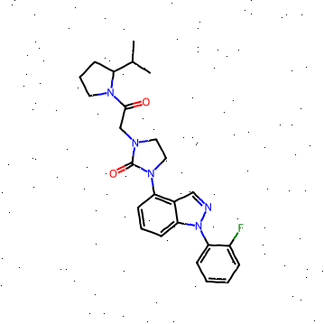 CC(C)C1CCCN1C(=O)CN1CCN(c2cccc3c2cnn3-c2ccccc2F)C1=O